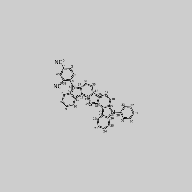 N#Cc1ccc(-n2c3ccccc3c3c4sc5c(ccc6c5c5ccccc5n6-c5ccccc5)c4ccc32)c(C#N)c1